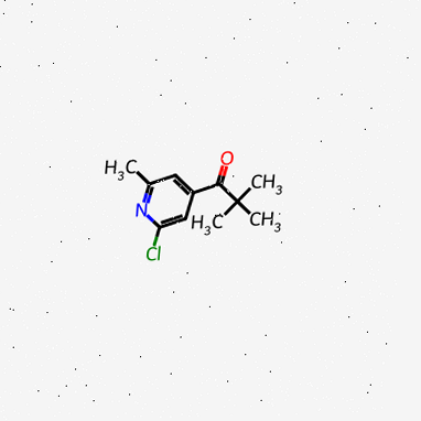 Cc1cc(C(=O)C(C)(C)C)cc(Cl)n1